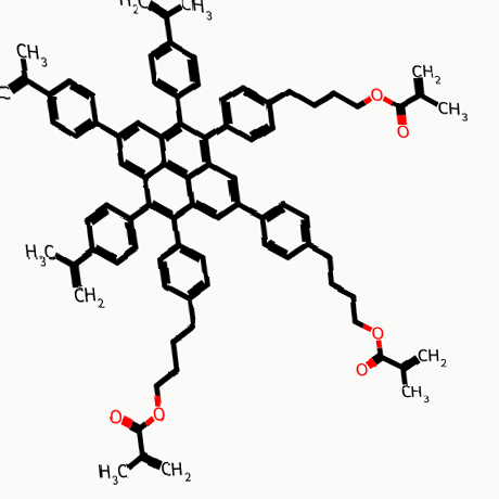 C=C(C)C(=O)OCCCCc1ccc(-c2cc3c(-c4ccc(CCCCOC(=O)C(=C)C)cc4)c(-c4ccc(C(=C)C)cc4)c4cc(-c5ccc(C(=C)C)cc5)cc5c(-c6ccc(C(=C)C)cc6)c(-c6ccc(CCCCOC(=O)C(=C)C)cc6)c(c2)c3c45)cc1